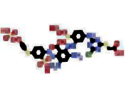 Nc1cc(N)c(N=Nc2ccc(SC#COOS(=O)(=O)O)cc2S(=O)(=O)O)c(C(=O)O)c1N=Nc1cc(Nc2nc(Cl)nc(SCC(=O)O)n2)ccc1SOOO